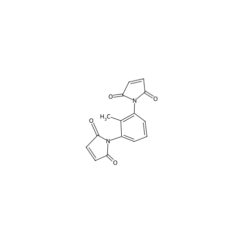 Cc1c(N2C(=O)C=CC2=O)cccc1N1C(=O)C=CC1=O